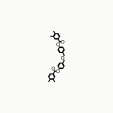 Cc1ccc(C(=O)Oc2ccc(COCc3ccc(OC(=O)c4ccc(C)c(C)c4)cc3)cc2)cc1C